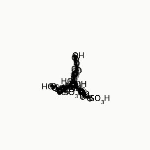 O=S(=O)(O)OCCS(=O)(=O)c1ccc(/N=N/c2c(O)c(/N=N/c3ccc(S(=O)(=O)CCOSOOO)cc3)c(O)c(/N=N/c3ccc4c(SOOO)cccc4c3S(=O)(=O)O)c2O)cc1